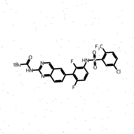 CC(C)(C)C(=O)Nc1ncc2cc(-c3c(F)ccc(NS(=O)(=O)c4cc(Cl)ccc4C(F)(F)F)c3F)ccc2n1